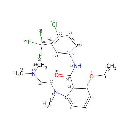 CCOc1cccc(N(C)CCN(C)C)c1C(=O)Nc1ccc(Cl)c(C(F)(F)F)c1